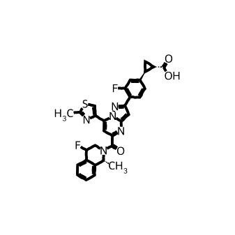 Cc1nc(-c2cc(C(=O)N3CC(F)c4ccccc4[C@H]3C)nc3cc(-c4ccc([C@H]5C[C@@H]5C(=O)O)cc4F)nn23)cs1